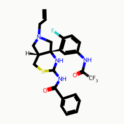 C=CCN1C[C@H]2CSC(NC(=O)c3ccccc3)N[C@@]2(c2cc(NC(=O)C(F)(F)F)ccc2F)C1